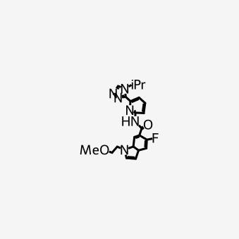 COCCN1C=CC2C=C(F)C(C(=O)Nc3cccc(-c4nncn4C(C)C)n3)=CC21